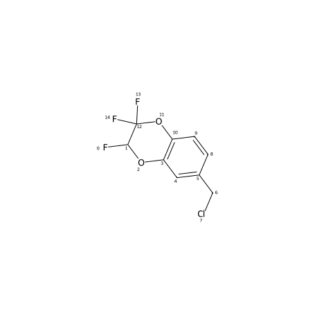 FC1Oc2cc(CCl)ccc2OC1(F)F